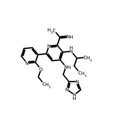 CCOc1ncccc1-c1cc(NCc2nc[nH]n2)c(NC(C)CC)c(C(C)=N)n1